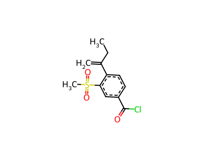 C=C(CC)c1ccc(C(=O)Cl)cc1S(C)(=O)=O